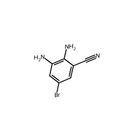 N#Cc1cc(Br)cc(N)c1N